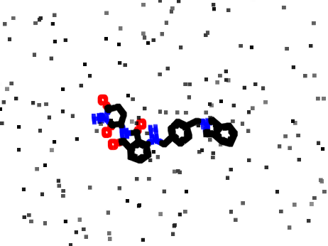 O=C1CCC(N2C(=O)c3cccc(NCc4ccc(Cn5cc6ccccc6c5)cc4)c3C2=O)C(=O)N1